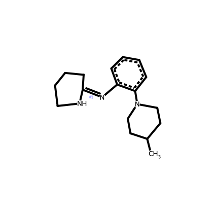 CC1CCN(c2ccccc2/N=C2\CCCCN2)CC1